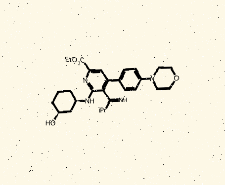 CCOC(=O)c1cc(-c2ccc(N3CCOCC3)cc2)c(C(=N)C(C)C)c(N[C@@H]2CCC[C@H](O)C2)n1